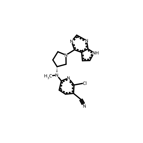 CN(c1ccc(C#N)c(Cl)n1)[C@@H]1CCN(c2ncnc3[nH]ccc23)C1